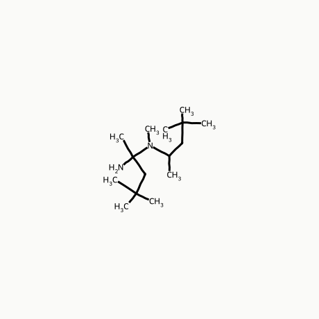 CC(CC(C)(C)C)N(C)C(C)(N)CC(C)(C)C